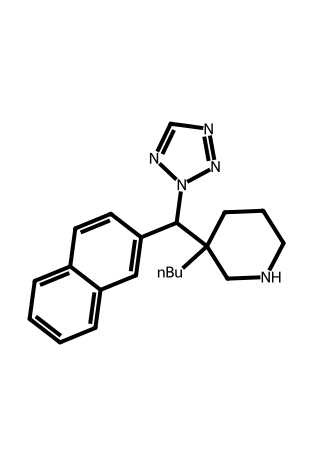 CCCCC1(C(c2ccc3ccccc3c2)n2ncnn2)CCCNC1